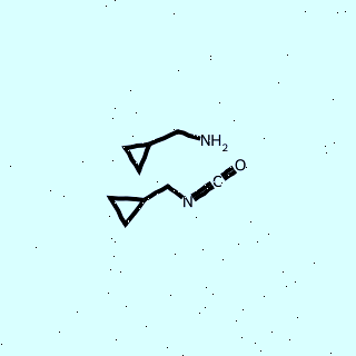 NCC1CC1.O=C=NCC1CC1